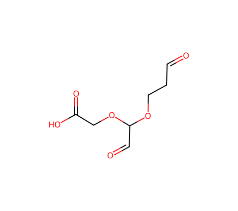 O=CCCOC(C=O)OCC(=O)O